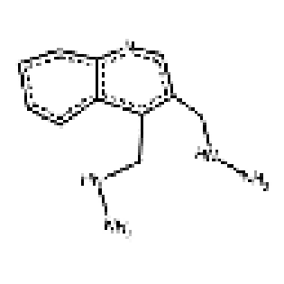 NNCc1cnc2ccccc2c1CNN